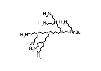 CCCCN(CCCN)CCCN(CCCCN(CCCN(CCCN)CCCN)CCCN(CCCN)CCCN)CCCN(CCCN)CCCN